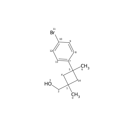 CC1(CO)CC(C)(c2ccc(Br)cc2)C1